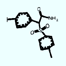 Cc1ccc(S(=O)(=O)C(C(N)=O)c2ccc(I)cc2)cc1